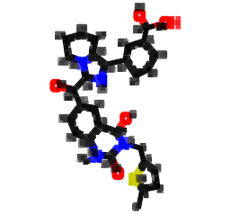 Cc1ccc(Cn2c(=O)c3cc(C(=O)c4nc(-c5cccc(C(=O)O)c5)c5ccccn45)ccc3n(C)c2=O)s1